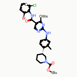 COc1nc(Nc2ccc([C@H]3CCCN(C(=O)OC(C)(C)C)C3)c(C)c2)ncc1C(=O)Nc1c(Cl)cccc1Br